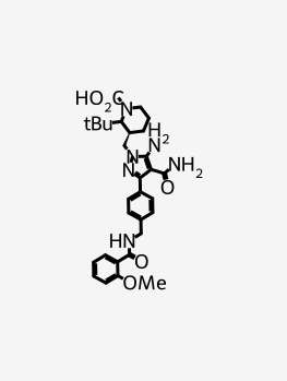 COc1ccccc1C(=O)NCc1ccc(-c2nn(C[C@@H]3CCCN(C(=O)O)C3C(C)(C)C)c(N)c2C(N)=O)cc1